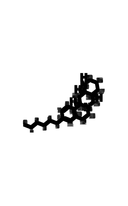 CCCCCCc1ccc2c(c1)CCN1C[C@H]3CCCN[C@H]3C[C@H]21